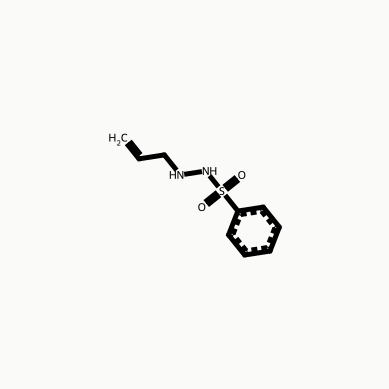 C=CCNNS(=O)(=O)c1ccccc1